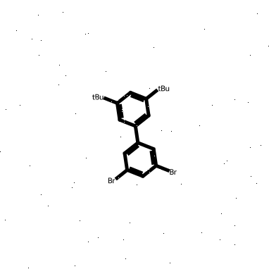 CC(C)(C)c1cc(-c2cc(Br)cc(Br)c2)cc(C(C)(C)C)c1